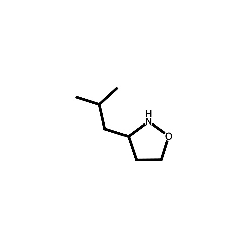 CC(C)CC1CCON1